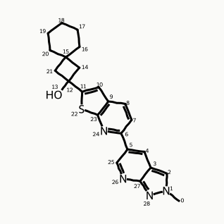 Cn1cc2cc(-c3ccc4cc(C5(O)CC6(CCCCC6)C5)sc4n3)cnc2n1